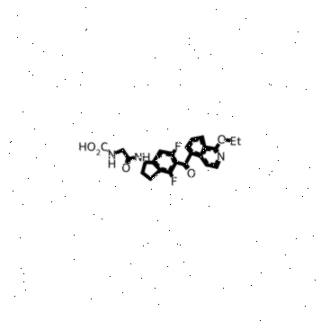 CCOc1nccc2c(C(=O)c3c(F)cc4c(c3F)CCC4NC(=O)CNC(=O)O)cccc12